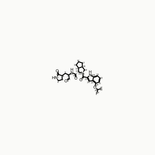 O=CC(CC1CCNC1=O)NC(=O)[C@@H]1C2CCCC2CN1C(=O)c1cc2c(OC(F)F)cccc2[nH]1